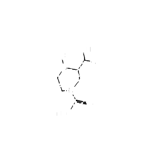 CC(=O)N1CCN(C)C(C(C)C)C1